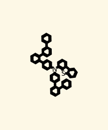 c1ccc(-c2cccc(-c3ccccc3-c3ccc(N(c4ccc(-c5ccccc5-c5ccccc5)cc4)c4cccc5c4sc4ccccc45)cc3)c2)cc1